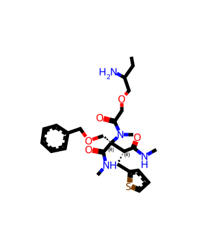 CCC(N)COCC(=O)N(C)[C@](COCc1ccccc1)(C(=O)NC)[C@@H](Cc1cccs1)C(=O)NC